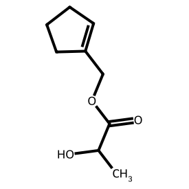 CC(O)C(=O)OCC1=CCCC1